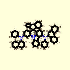 c1ccc(N(c2ccc3c(c2)-n2c4ccccc4c4c(N(c5ccccc5)c5cc6ccccc6c6ccccc56)ccc(c42)C32c3ccccc3-c3ccccc32)c2cccc3ccccc23)cc1